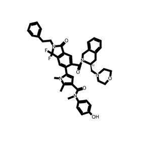 Cc1c(C(=O)N(C)c2ccc(O)cc2)cc(-c2cc3c(cc2C(=O)N2Cc4ccccc4C[C@H]2CN2CCOCC2)C(=O)N(CCc2ccccc2)C3(F)F)n1C